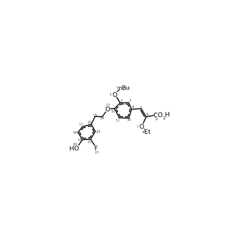 CCCCOc1cc(C=C(OCC)C(=O)O)ccc1OCCc1ccc(O)c(F)c1